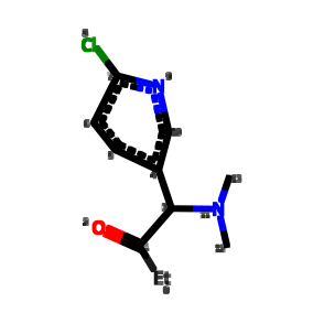 CCC(=O)C(c1ccc(Cl)nc1)N(C)C